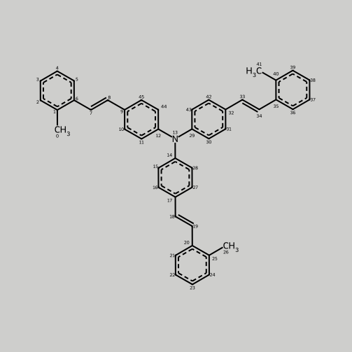 Cc1ccccc1/C=C/c1ccc(N(c2ccc(/C=C/c3ccccc3C)cc2)c2ccc(/C=C/c3ccccc3C)cc2)cc1